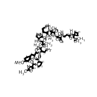 COc1ccc(CC(NC(=O)[C@@H]2CCCN2C(=O)c2coc(C)n2)C(=O)NC(CC(C)C)C(=O)NC(C)(C)C(=O)NC(CC(C)C)C(=O)NC(CC(C)C)C(=O)NC(C)(C)C(=O)NC(C)(C)C(=O)NCCC(=O)NC2(CN(C)C)CCC2)cc1